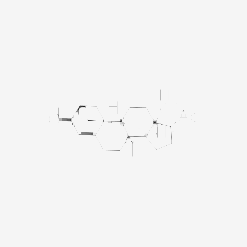 C=C[C@]12CCC(=O)C=C1CC[C@H]1[C@@H]3CC[C@H](C(C)=O)[C@@]3(C)CC[C@@H]12